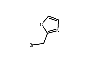 BrCc1ncco1